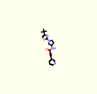 CC(C)(C)c1csc(N2CCC(NC(=O)C#Cc3cccnc3)C2)n1